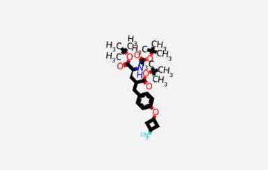 CC(C)(C)OC(=O)N[C@@H](CC(Cc1ccc(OC2CC([18F])C2)cc1)C(=O)OC(C)(C)C)C(=O)OC(C)(C)C